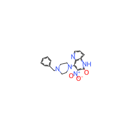 O=c1[nH]c2cccnc2c(N2CCN(Cc3ccccc3)CC2)c1[N+](=O)[O-]